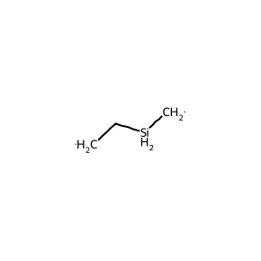 [CH2]C[SiH2][CH2]